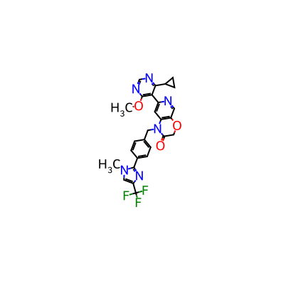 COc1ncnc(C2CC2)c1-c1cc2c(cn1)OCC(=O)N2Cc1ccc(-c2nc(C(F)(F)F)cn2C)cc1